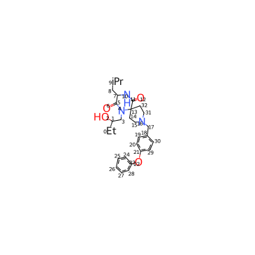 CCC(O)CN1C(=O)C(CC(C)C)NC(=O)C12CCN(Cc1ccc(Oc3ccccc3)cc1)CC2